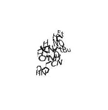 C=C(CC)CC(=O)N[C@H](C(=O)N1C[C@H]2[C@@H]([C@H]1C(=O)N[C@H](C#N)C[C@@H]1CCNC1=O)C2(C)C)C(C)(C)C